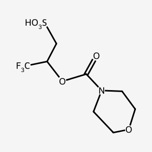 O=C(OC(CS(=O)(=O)O)C(F)(F)F)N1CCOCC1